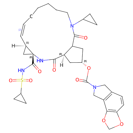 O=C1N[C@]2(C(=O)NS(=O)(=O)C3CC3)C[C@H]2/C=C\CCCCCN(C2CC2)C(=O)C2C[C@H](OC(=O)N3Cc4ccc5c(c4C3)OCO5)C[C@@H]12